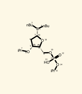 CCCCB(CCCC)[C@H]1C[C@@H](OC(C)C)[C@@H](COP(=O)(O)OC(C)C)O1